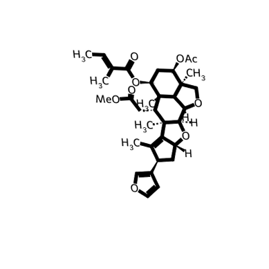 C/C=C(\C)C(=O)O[C@H]1C[C@@H](OC(C)=O)[C@@]2(C)CO[C@@H]3C2[C@@]1(C)[C@@H](CC(=O)OC)[C@]1(C)C2=C(C)[C@H](c4ccoc4)C[C@H]2O[C@H]31